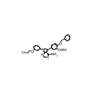 COc1cc(-c2cn(-c3cccc(OCCCl)c3)c3ncnc(N)c23)ccc1OCc1ccccc1